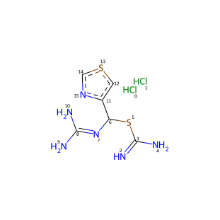 Cl.Cl.N=C(N)SC(N=C(N)N)c1cscn1